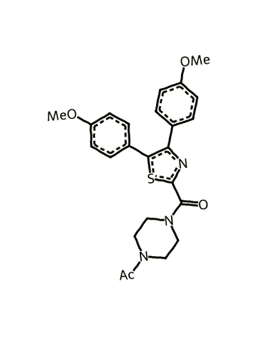 COc1ccc(-c2nc(C(=O)N3CCN(C(C)=O)CC3)sc2-c2ccc(OC)cc2)cc1